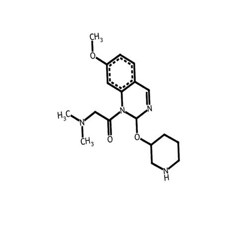 COc1ccc2c(c1)N(C(=O)CN(C)C)C(OC1CCCNC1)N=C2